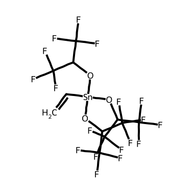 C=[CH][Sn]([O]C(C(F)(F)F)C(F)(F)F)([O]C(C(F)(F)F)C(F)(F)F)[O]C(C(F)(F)F)C(F)(F)F